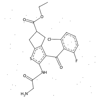 CCOC(=O)C1Cc2sc(NC(=O)CN)c(C(=O)c3c(F)cccc3Cl)c2C1